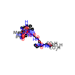 CC[C@H](C)[C@@H]([C@@H](CC(=O)N1CCC[C@H]1[C@H](OC)[C@@H](C)C(=O)N[C@H](C)Cc1ccccc1)OC)N(C)C(=O)C(NC(=O)[C@H](C(C)C)N(C)C(=O)OCc1ccc(NC(=O)CNC(=O)[C@H](Cc2ccccc2)NC(=O)CNC(=O)CNC(=O)CCCC(=O)NCC2CCC(C(=O)N[C@@H](Cc3ccc4ccccc4c3)C(=O)NCCCC[C@H](NC(=O)N[C@@H](CCC(=O)O)C(=O)O)C(=O)O)CC2)cc1)C(C)C